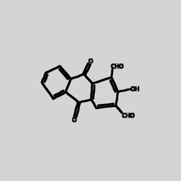 O=Cc1cc2c(c(C=O)c1O)C(=O)c1ccccc1C2=O